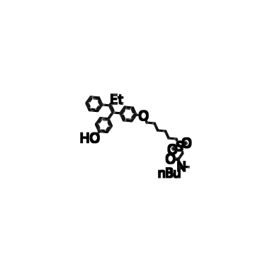 CCCCN(C)C(=O)CS(=O)(=O)CCCCCCOc1ccc(/C(=C(\CC)c2ccccc2)c2ccc(O)cc2)cc1